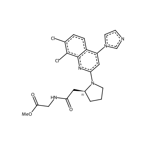 COC(=O)CNC(=O)C[C@@H]1CCCN1c1cc(-n2ccnc2)c2ccc(Cl)c(Cl)c2n1